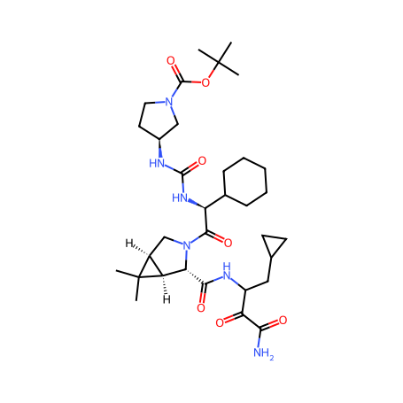 CC(C)(C)OC(=O)N1CC[C@H](NC(=O)N[C@H](C(=O)N2C[C@H]3[C@@H]([C@H]2C(=O)NC(CC2CC2)C(=O)C(N)=O)C3(C)C)C2CCCCC2)C1